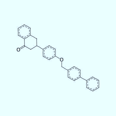 O=C1CC(c2ccc(OCc3ccc(-c4ccccc4)cc3)cc2)Cc2ccccc21